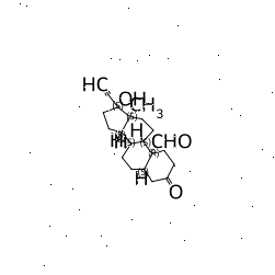 C#C[C@]1(O)CC[C@H]2[C@@H]3CC[C@H]4CC(=O)CC[C@]4(C=O)[C@H]3CC[C@@]21C